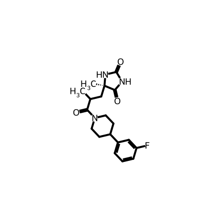 CC(C[C@@]1(C)NC(=O)NC1=O)C(=O)N1CCC(c2cccc(F)c2)CC1